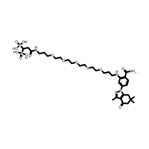 Cc1nn(-c2ccc(C(N)=O)c(NCCCOCCOCCOCCOCCOCCCNC(=O)CC(P(=O)(O)O)P(=O)(O)O)c2)c2c1C(=O)CC(C)(C)C2